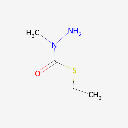 CCSC(=O)N(C)N